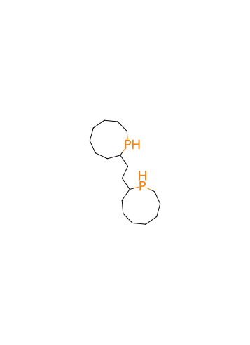 C1CCCPC(CCC2CCCCCCCP2)CCC1